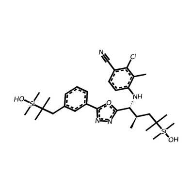 Cc1c(N[C@@H](c2nnc(-c3cccc(CC(C)(C)[Si](C)(C)O)c3)o2)[C@H](C)CC(C)(C)[Si](C)(C)O)ccc(C#N)c1Cl